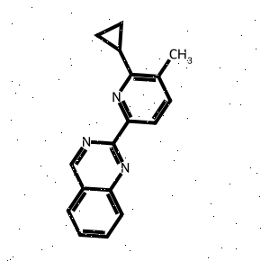 Cc1ccc(-c2ncc3ccccc3n2)nc1C1CC1